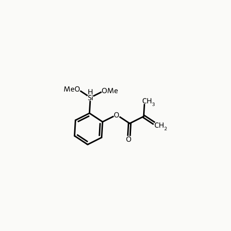 C=C(C)C(=O)Oc1ccccc1[SiH](OC)OC